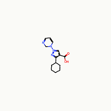 O=C(O)c1cn(N2C=CC=NC2)nc1C1CCCCC1